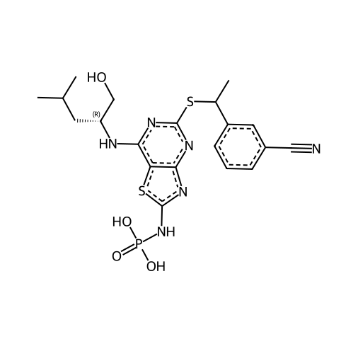 CC(C)C[C@H](CO)Nc1nc(SC(C)c2cccc(C#N)c2)nc2nc(NP(=O)(O)O)sc12